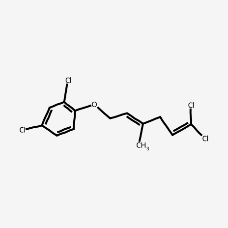 C/C(=C\COc1ccc(Cl)cc1Cl)CC=C(Cl)Cl